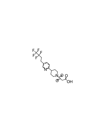 O=C(O)CS(=O)(=O)N1CCC(c2ccc(CCC(F)(F)C(F)(F)F)cn2)CC1